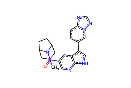 CN1CC2CCC(C1)N2C(=O)c1cnc2[nH]cc(-c3ccc4ncnn4c3)c2c1